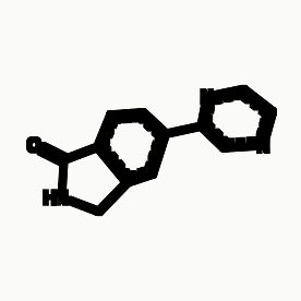 O=C1NCc2cc(-c3cnccn3)ccc21